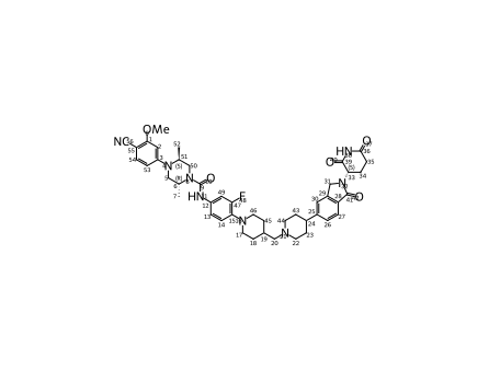 COc1cc(N2C[C@@H](C)N(C(=O)Nc3ccc(N4CCC(CN5CCC(c6ccc7c(c6)CN([C@H]6CCC(=O)NC6=O)C7=O)CC5)CC4)c(F)c3)C[C@@H]2C)ccc1C#N